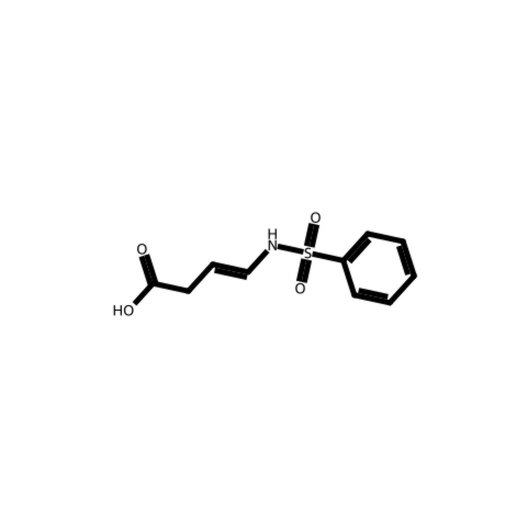 O=C(O)CC=CNS(=O)(=O)c1ccccc1